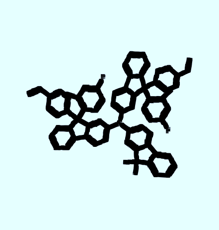 C=Cc1ccc(C2(c3ccc(F)cc3C)c3ccccc3-c3ccc(N(c4ccc5c(c4)C(C)(C)c4ccccc4-5)c4ccc5c(c4)C(c4ccc(C=C)cc4)(c4ccc(F)cc4C)c4ccccc4-5)cc32)cc1